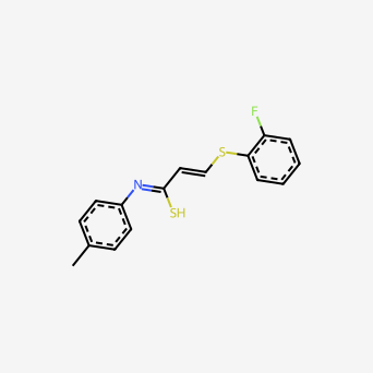 Cc1ccc(N=C(S)C=CSc2ccccc2F)cc1